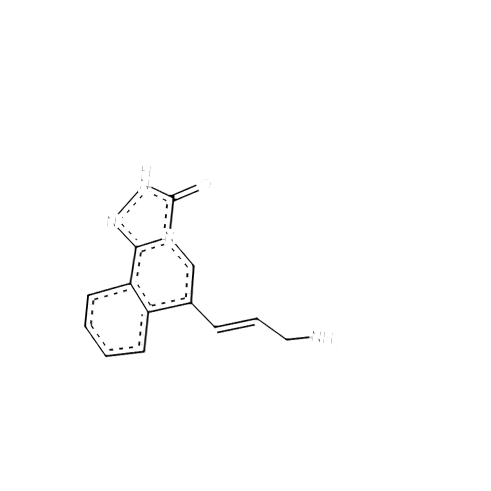 NCC=Cc1cn2c(=O)[nH]nc2c2ccccc12